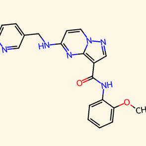 COc1ccccc1NC(=O)c1cnn2ccc(NCc3cccnc3)nc12